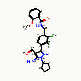 COc1ccccc1C(=O)NCc1ccc(C2NN(C3CCCC3)C(N)=C2C=O)c(F)c1F